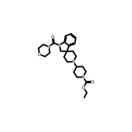 CCOC(=O)N1CCC(N2CCC3(CC2)CN(C(=O)N2CCOCC2)c2ccccc23)CC1